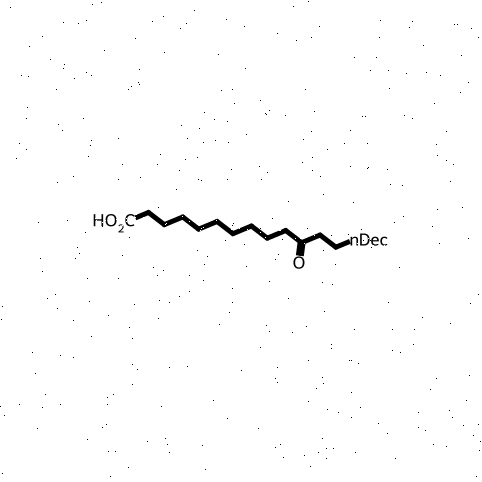 CCCCCCCCCCCCC(=O)CCCCCCCCCC(=O)O